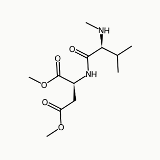 CN[C@H](C(=O)N[C@@H](CC(=O)OC)C(=O)OC)C(C)C